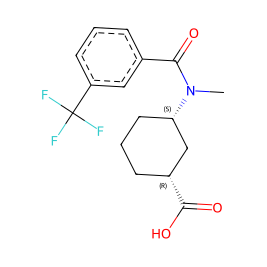 CN(C(=O)c1cccc(C(F)(F)F)c1)[C@H]1CCC[C@@H](C(=O)O)C1